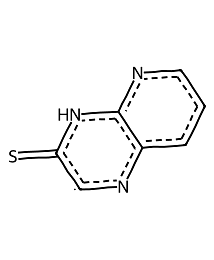 S=c1[c]nc2cccnc2[nH]1